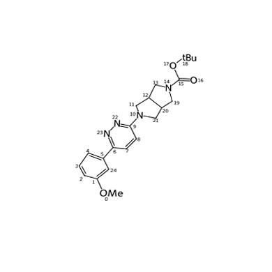 COc1cccc(-c2ccc(N3CC4CN(C(=O)OC(C)(C)C)CC4C3)nn2)c1